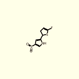 O=[SH](=O)c1c[nH]c(C2CC=C(F)S2)c1